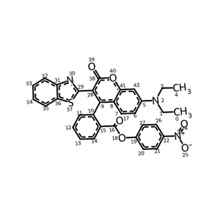 CCN(CC)c1ccc2c(-c3ccccc3C(=O)Oc3ccc([N+](=O)[O-])cc3)c(-c3nc4ccccc4s3)c(=O)oc2c1